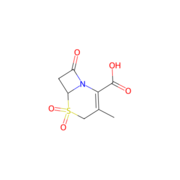 CC1=C(C(=O)O)N2C(=O)CC2S(=O)(=O)C1